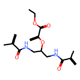 C=C(C)C(=O)NCC(CNC(=O)C(=C)C)OC(=C)C(=O)OCC